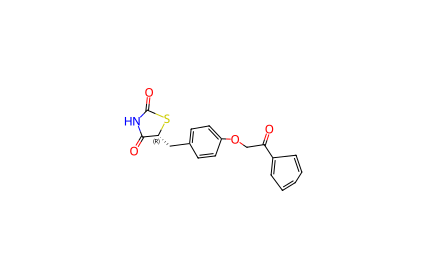 O=C1NC(=O)[C@@H](Cc2ccc(OCC(=O)c3ccccc3)cc2)S1